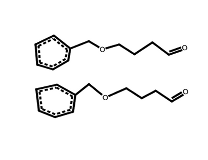 O=CCCCOCc1ccccc1.O=CCCCOCc1ccccc1